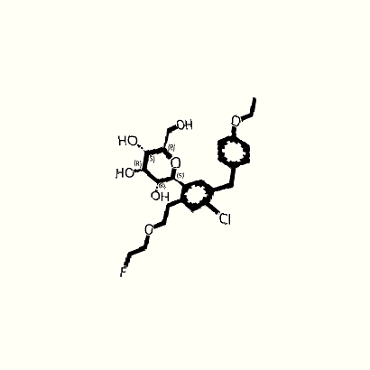 CCOc1ccc(Cc2cc([C@@H]3O[C@H](CO)[C@@H](O)[C@H](O)[C@H]3O)c(CCOCCF)cc2Cl)cc1